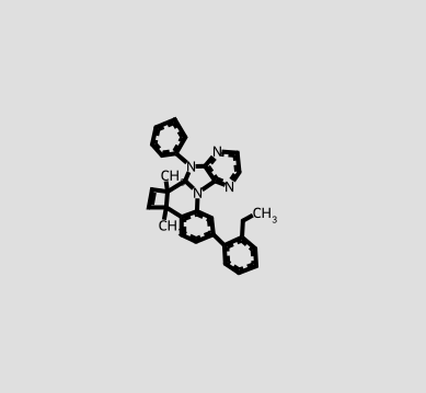 CCc1ccccc1-c1ccc2c(c1)N1c3nccnc3N(c3ccccc3)C1C1(C)C=CC21C